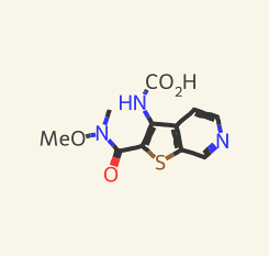 CON(C)C(=O)c1sc2cnccc2c1NC(=O)O